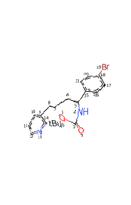 CC(C)(C)OC(=O)NC(CCCc1cccnc1)c1ccc(Br)cc1